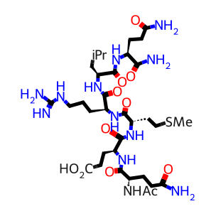 CSCC[C@H](NC(=O)[C@H](CCC(=O)O)NC(=O)[C@H](CCC(N)=O)NC(C)=O)C(=O)N[C@@H](CCCNC(=N)N)C(=O)N[C@@H](CC(C)C)C(=O)N[C@@H](CCC(N)=O)C(N)=O